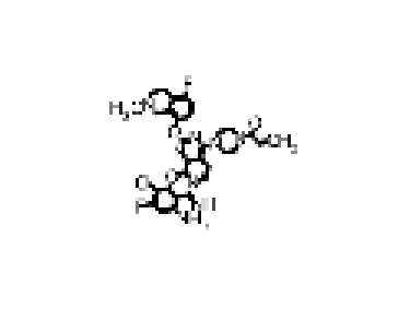 C=CC(=O)N1CCN(c2nc(Oc3ccc(F)c4c3CN(C)CC4)nc3c(Oc4c(Cl)c(F)cc(N)c4C=N)nccc23)CC1